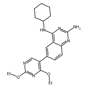 CCOc1ncc(-c2ccc3nc(N)nc(NC4CCCCC4)c3c2)c(OCC)n1